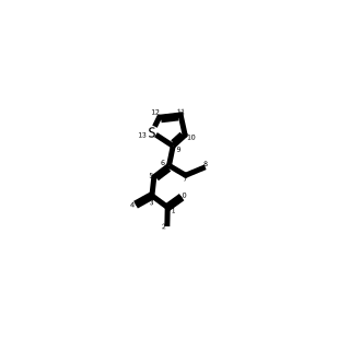 C=C(C)C(=C)/C=C(\CC)c1cccs1